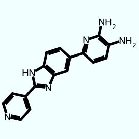 Nc1ccc(-c2ccc3[nH]c(-c4ccncc4)nc3c2)nc1N